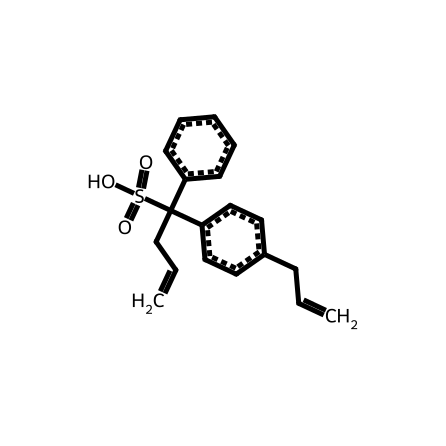 C=CCc1ccc(C(CC=C)(c2ccccc2)S(=O)(=O)O)cc1